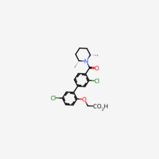 C[C@@H]1CCC[C@H](C)N1C(=O)c1ccc(-c2cc(Cl)ccc2OCC(=O)O)cc1Cl